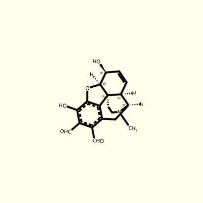 CN1CC[C@]23c4c5c(C=O)c(C=O)c(O)c4O[C@H]2[C@@H](O)C=C[C@H]3[C@H]1C5